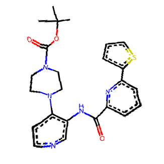 CC(C)(C)OC(=O)N1CCN(c2ccncc2NC(=O)c2cccc(-c3cccs3)n2)CC1